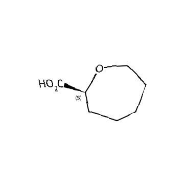 O=C(O)[C@@H]1CCCCCO1